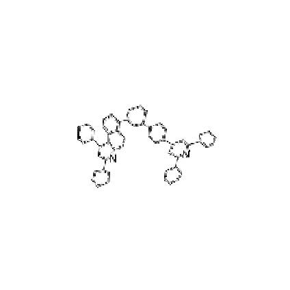 c1ccc(-c2cc(-c3ccc(-c4cccc(-c5cccc6c5ccc5nc(-c7ccccc7)cc(-c7ccccc7)c56)c4)cc3)cc(-c3ccccc3)n2)cc1